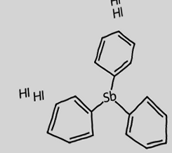 I.I.I.I.c1cc[c]([Sb]([c]2ccccc2)[c]2ccccc2)cc1